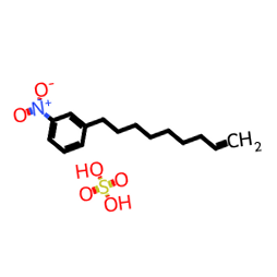 C=CCCCCCCCc1cccc([N+](=O)[O-])c1.O=S(=O)(O)O